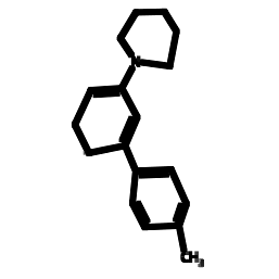 Cc1ccc(C2=CC(N3CCCCC3)=CC[CH]2)cc1